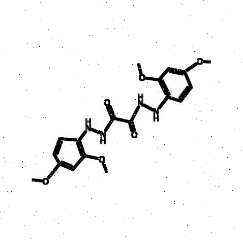 COc1ccc(NNC(=O)C(=O)NNc2ccc(OC)cc2OC)c(OC)c1